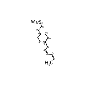 C/C=C\C=C/CC1CCC(CCSC)CC1